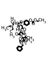 CCN(CC)CC.CCOC(=O)Oc1ccc([C@H](C(=O)N[C@H]2C(=O)N3[C@@H]2SC(C)(C)[C@]3(OC)C(=O)OCc2ccccc2)S(=O)(=O)O)cc1